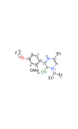 CCC1=CN(C(CC)CC)C(Cl)C(c2ccc(OC(F)(F)F)cc2OC)=N1